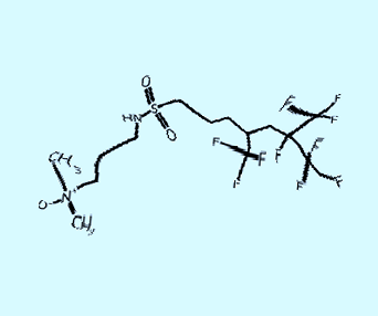 C[N+](C)([O-])CCCNS(=O)(=O)CCCC(CC(F)(C(F)(F)F)C(F)(F)F)C(F)(F)F